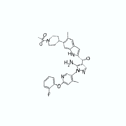 Cc1cc2cc(C(=O)c3cnn(-c4cnc(Oc5ccccc5F)cc4C)c3N)[nH]c2cc1C1CCN(S(C)(=O)=O)CC1